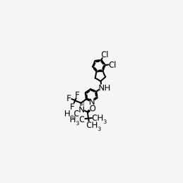 CN(C(=O)C(C)(C)C)[C@@H](c1ccc(NC2Cc3ccc(Cl)c(Cl)c3C2)cn1)C(F)(F)F